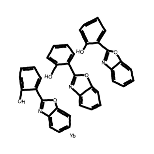 Oc1ccccc1-c1nc2ccccc2o1.Oc1ccccc1-c1nc2ccccc2o1.Oc1ccccc1-c1nc2ccccc2o1.[Yb]